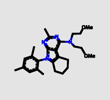 COCCN(CCOC)c1nc(C)nc2c1c1c(n2-c2c(C)cc(C)cc2C)CCCC1